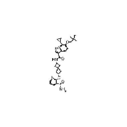 CC(C)(F)COc1ccc2c(C(=O)N[C@H]3CC4(C3)C[C@H](Oc3ncccc3C(N)=O)C4)cnn2c1C1CC1